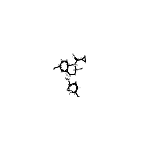 Cc1ccc(N[C@H]2C[C@H](C)N(C(=O)C3CC3)c3ccc(C)cc32)cc1